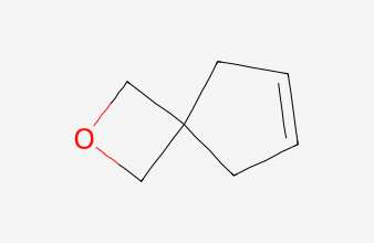 C1=CCC2(C1)COC2